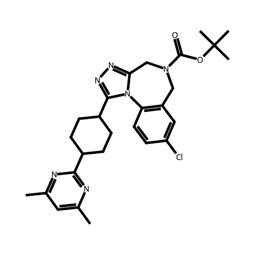 Cc1cc(C)nc(C2CCC(c3nnc4n3-c3ccc(Cl)cc3CN(C(=O)OC(C)(C)C)C4)CC2)n1